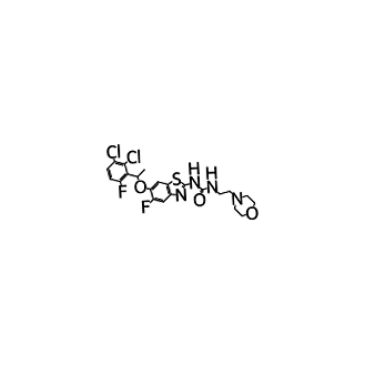 CC(Oc1cc2sc(NC(=O)NCCN3CCOCC3)nc2cc1F)c1c(F)ccc(Cl)c1Cl